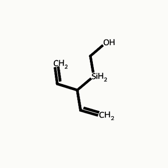 C=CC(C=C)[SiH2]CO